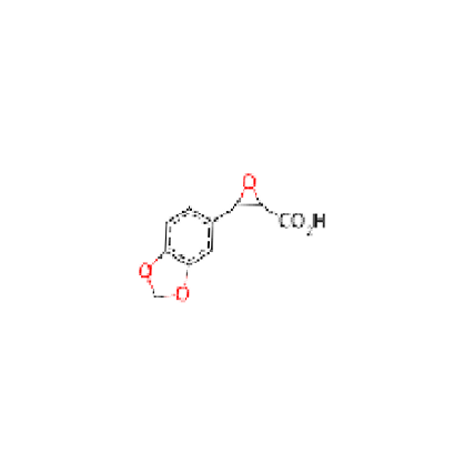 O=C(O)C1OC1c1ccc2c(c1)OCO2